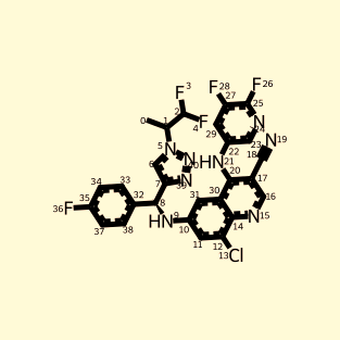 CC(C(F)F)n1cc([C@@H](Nc2cc(Cl)c3ncc(C#N)c(Nc4cnc(F)c(F)c4)c3c2)c2ccc(F)cc2)nn1